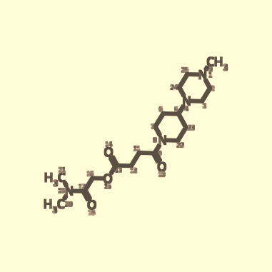 CN1CCN(C2CCN(C(=O)CCC(=O)OCC(=O)N(C)C)CC2)CC1